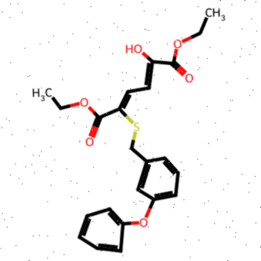 CCOC(=O)/C(O)=C/C=C(\SCc1cccc(Oc2ccccc2)c1)C(=O)OCC